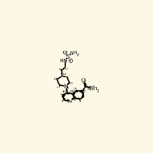 NC(=O)c1ccc2nccc(N3CCC(CCNS(N)(=O)=O)CC3)c2c1